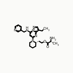 CCc1cnn2c(NCc3cccnc3)cc(N3CCCC[C@H]3CCOC(=O)[C@@H](C)N)nc12